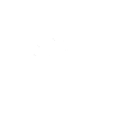 CC(=O)Nc1nnc(S)s1.Cc1ccc(C)cc1